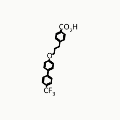 O=C(O)c1ccc(CCCOc2ccc(-c3ccc(C(F)(F)F)cc3)cc2)cc1